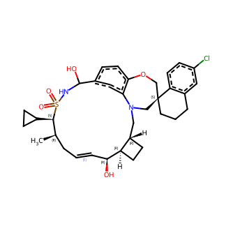 C[C@@H]1C/C=C/[C@H](O)[C@@H]2CC[C@H]2CN2C[C@@]3(CCCc4cc(Cl)ccc43)COc3ccc(cc32)C(O)NS(=O)(=O)[C@@H]1C1CC1